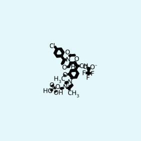 COc1cc(C(C)=C2OCC(=O)N3C(c4ccc(Cl)cc4)=COC[C@H]23)ccc1-n1cc(C)[n+](COP(=O)(O)O)c1.O=C([O-])C(F)(F)F